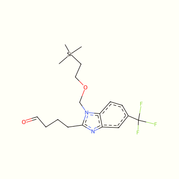 C[Si](C)(C)CCOCn1c(CCCC=O)nc2cc(C(F)(F)F)ccc21